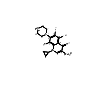 O=C(O)c1cn(C2CC2)c2c(F)c(N3CCNCC3)c(F)c(F)c2c1=O